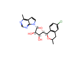 Cc1ncnc2c1ccn2[C@@H]1O[C@H]([C@@H]2OC(C)Cc3cc(Cl)ccc32)[C@@H](O)[C@H]1O